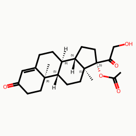 CC(=O)O[C@@]1(C(=O)CO)CC[C@H]2[C@@H]3CCC4=CC(=O)CC[C@]4(C)[C@H]3CC[C@@]21C